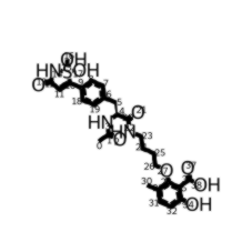 CC(=O)N[C@@H](Cc1ccc(C2=CC(=O)NS2(O)O)cc1)C(=O)NCCCCOc1c(C)ccc(O)c1C(=O)O